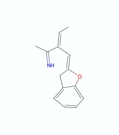 C/C=C(\C=C1/Cc2ccccc2O1)C(C)=N